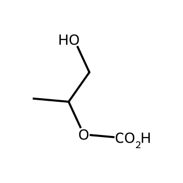 CC(CO)OC(=O)O